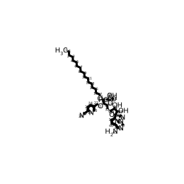 CCCCCCCCCCCCCCCCCCOCC(OCc1ccc(C#N)nc1)C(C[C@H]1O[C@@](C#N)(c2ccc3c(N)ncnn23)[C@H](O)[C@@H]1O)OP(=O)(O)O